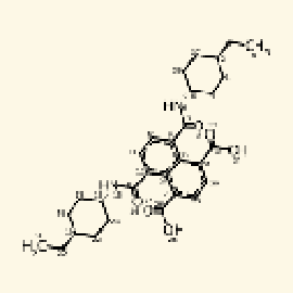 CC[C@H]1CC[C@H](NC(=O)c2ccc(C(=O)N[C@H]3CC[C@H](CC)CC3)c3c(C(=O)O)ccc(C(=O)O)c23)CC1